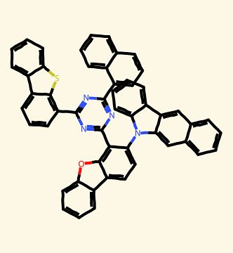 c1ccc2cc3c(cc2c1)c1ccccc1n3-c1ccc2c(oc3ccccc32)c1-c1nc(-c2cccc3ccccc23)nc(-c2cccc3c2sc2ccccc23)n1